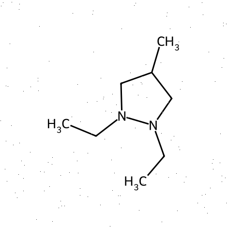 CCN1CC(C)CN1CC